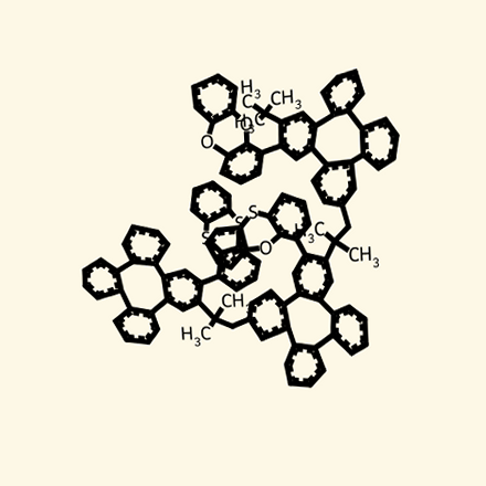 CC(C)(C)c1cc2c(cc1-c1cccc3c1Oc1ccccc1O3)-c1ccc(CC(C)(C)c3cc4c(cc3-c3cccc5c3Oc3ccccc3S5)-c3ccc(CC(C)(C)c5cc6c(cc5-c5cccc7c5Sc5ccccc5S7)-c5ccccc5-c5ccccc5-c5ccccc5-6)cc3-c3ccccc3-c3ccccc3-4)cc1-c1ccccc1-c1ccccc1-2